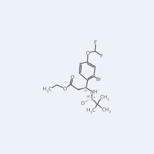 CCOC(=O)C[C@H](N[S@@+]([O-])C(C)(C)C)c1ccc(OC(F)F)cc1Br